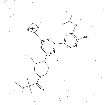 COC(C)(C)C(=O)N1C[C@H](C)N(c2cc(-c3cnc(N)c(OC(F)F)c3)nc(N3CC4CC3C4)n2)C[C@@H]1C